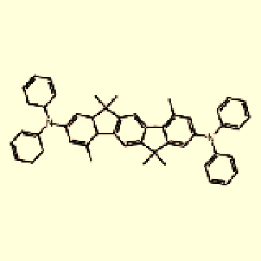 CC1=CC(N(C2=CC=CCC2)C2C=CC=CC2)=CC2C1c1cc3c(cc1C2(C)C)-c1c(C)cc(N(c2ccccc2)c2ccccc2)cc1C3(C)C